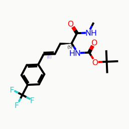 CNC(=O)[C@H](C/C=C/c1ccc(C(F)(F)F)cc1)NC(=O)OC(C)(C)C